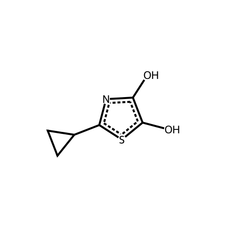 Oc1nc(C2CC2)sc1O